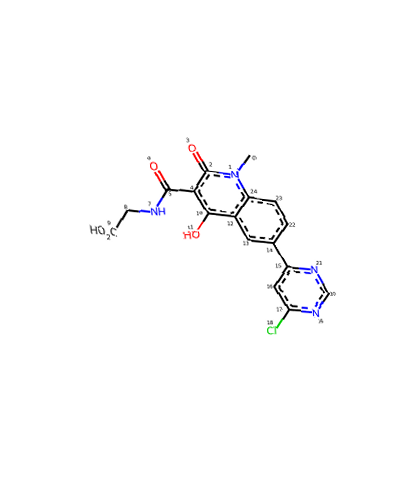 Cn1c(=O)c(C(=O)NCC(=O)O)c(O)c2cc(-c3cc(Cl)ncn3)ccc21